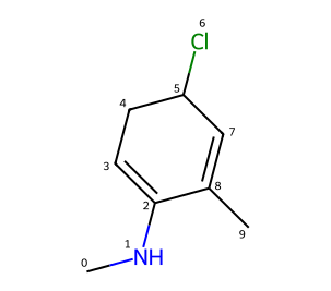 CNC1=CCC(Cl)C=C1C